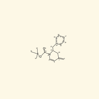 C=C1C=CN(C(=O)OC(C)(C)C)C(Cc2ccccc2)C1